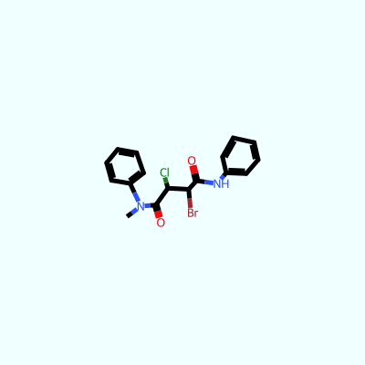 CN(C(=O)C(Cl)C(Br)C(=O)Nc1ccccc1)c1ccccc1